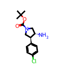 CC(C)(C)OC(=O)N1C[C@H](c2ccc(Cl)cc2)[C@@H](N)C1